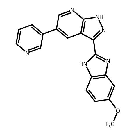 FC(F)(F)Oc1ccc2[nH]c(-c3n[nH]c4ncc(-c5cccnc5)cc34)nc2c1